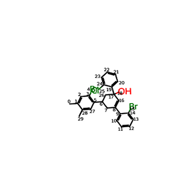 Cc1cc(Br)c(C2CC(c3ccccc3Br)=CC(O)(c3ccccc3Cl)C2)cc1C